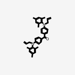 C=CCN(c1ccc(C(=O)c2ccc(N(CC=C)c3c(C)cc(C)cc3C)cc2)cc1)c1c(C)cc(C)cc1C